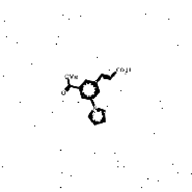 COC(=O)c1cc(C=CC(=O)O)cc(-n2cccc2)c1